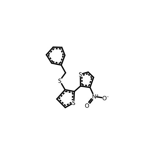 O=[N+]([O-])c1ccsc1-c1sccc1SCc1ccccc1